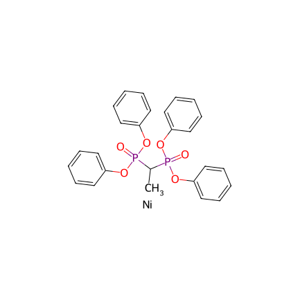 CC(P(=O)(Oc1ccccc1)Oc1ccccc1)P(=O)(Oc1ccccc1)Oc1ccccc1.[Ni]